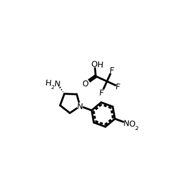 N[C@H]1CCN(c2ccc([N+](=O)[O-])cc2)C1.O=C(O)C(F)(F)F